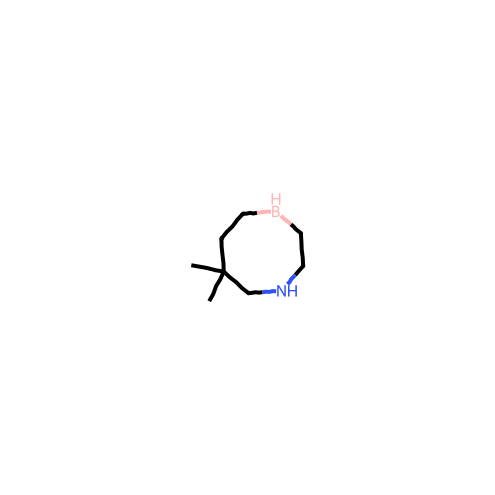 CC1(C)CCBCCNC1